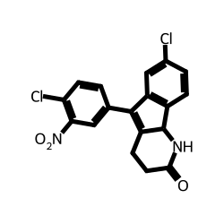 O=C1CCC2=C(c3ccc(Cl)c([N+](=O)[O-])c3)c3cc(Cl)ccc3C2N1